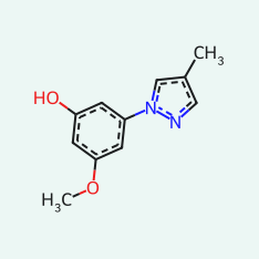 COc1cc(O)cc(-n2cc(C)cn2)c1